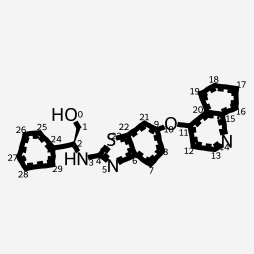 OC[C@@H](Nc1nc2ccc(Oc3ccnc4ccccc34)cc2s1)c1ccccc1